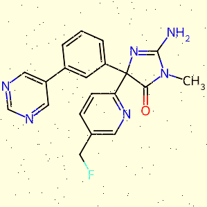 CN1C(=O)C(c2cccc(-c3cncnc3)c2)(c2ccc(CF)cn2)N=C1N